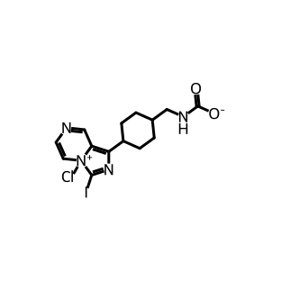 O=C([O-])NCC1CCC(C2=C3C=NC=C[N+]3(Cl)C(I)=N2)CC1